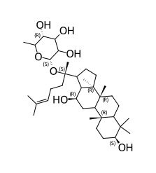 CC(C)=CCC[C@](C)(O[C@@H]1OC(C)[C@H](O)C(O)C1O)C1CC[C@]2(C)C1[C@H](O)CC1[C@@]3(C)CC[C@H](O)C(C)(C)C3CC[C@]12C